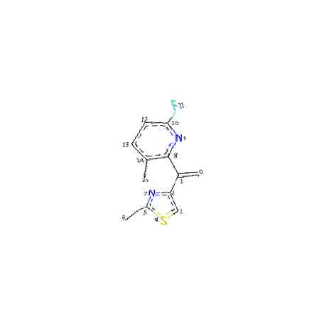 [CH]=C(c1csc(C)n1)c1nc(F)ccc1C